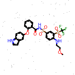 COCCNc1ccc(S(=O)(=O)NC(=O)c2ccccc2Oc2ccc3[nH]ccc3c2)cc1S(=O)(=O)C(F)(F)F